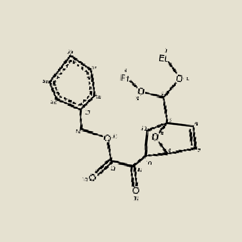 CCOC(OCC)C12C=CC(O1)C(C(=O)C(=O)OCc1ccccc1)C2